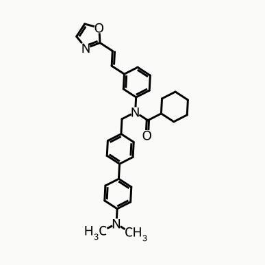 CN(C)c1ccc(-c2ccc(CN(C(=O)C3CCCCC3)c3cccc(C=Cc4ncco4)c3)cc2)cc1